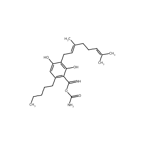 CCCCCc1cc(O)c(C/C=C(\C)CCC=C(C)C)c(O)c1C(=N)OC(N)=O